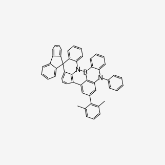 Cc1cccc(C)c1-c1cc2c3c(c1)N(c1ccccc1)c1ccccc1B3N1c3ccccc3C3(c4ccccc4-c4ccccc43)c3cccc-2c31